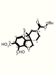 CC(C)(C)OC(=O)N1CC[C@@]2(COc3c2ccc(C(=O)O)c3C=O)C(F)(F)C1